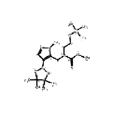 Cn1ncc(B2OC(C)(C)C(C)(C)O2)c1CN(CCO[Si](C)(C)C(C)(C)C)C(=O)OC(C)(C)C